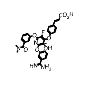 CN(C)C(=O)c1cccc(Oc2nc(Oc3cc(C(=N)N)ccc3O)c(F)c(Oc3ccc(C=CC(=O)O)cc3)c2F)c1